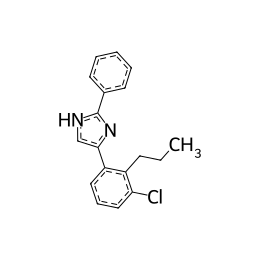 CCCc1c(Cl)cccc1-c1c[nH]c(-c2ccccc2)n1